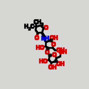 CC1(C)CC(=O)C(=CNC2C(O)[C@H](O[C@@H]3OC(CO)[C@H](O)C(O)C3O)C(CO)O[C@H]2O)C(=O)C1